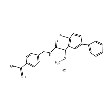 COC(C(=O)NCc1ccc(C(=N)N)cc1)c1cc(-c2ccccc2)ccc1F.Cl